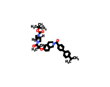 CC(C)c1ccc(-c2ccc(C(=O)N3CCc4cc(OC(C)(C)C(=O)N5C[C@H]6C[C@@H]5CN6C(=O)OC(C)(C)C)ccc4C3)cc2)cc1